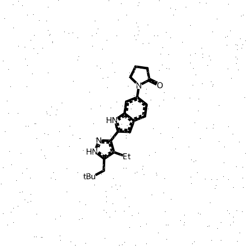 CCc1c(-c2cc3ccc(N4CCCC4=O)cc3[nH]2)n[nH]c1CC(C)(C)C